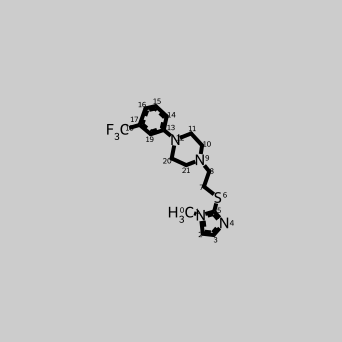 Cn1ccnc1SCCN1CCN(c2cccc(C(F)(F)F)c2)CC1